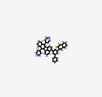 c1ccc(-c2cc(-c3ccc4c5c(cccc35)-c3c-4c(-c4ccncc4)c4ccccc4c3-c3ccncc3)c3sc4cc5ccccc5cc4c3c2)cc1